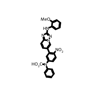 COc1ccccc1Nc1nc2ccc(-c3cc(N(C(=O)O)c4ccccc4)ccc3[N+](=O)[O-])cn2n1